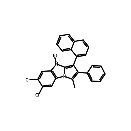 CCn1c2cc(Cl)c(Cl)cc2n2c(C)c(-c3ccccc3)c(-c3cccc4ccccc34)c12